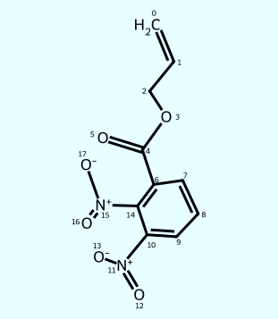 C=CCOC(=O)c1cccc([N+](=O)[O-])c1[N+](=O)[O-]